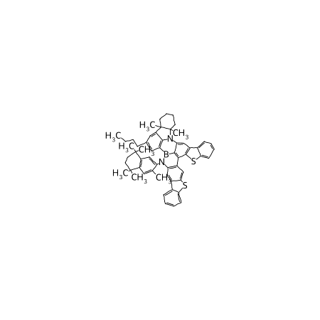 CCCCc1cc2c3c(c1)C1(C)CCCCC1(C)N3c1cc3c(sc4ccccc43)c3c1B2N(c1cc2c(cc1C)C(C)(C)CCC2(C)C)c1cc2c(cc1-3)sc1ccccc12